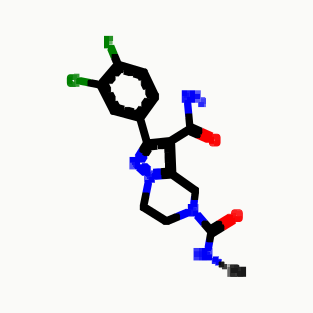 CC[C@@H](C)NC(=O)N1CCn2nc(-c3ccc(F)c(Cl)c3)c(C(N)=O)c2C1